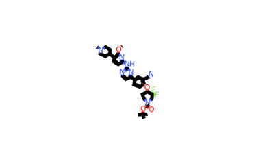 COc1nc(Nc2nccc(-c3ccc(OC4CCN(C(=O)OC(C)(C)C)CC4(F)F)c(C#N)c3)n2)ccc1C1CCN(C)CC1